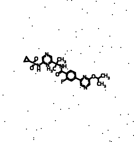 CC(C)Oc1cncc(-c2ccc(C(=O)NC(C)(C)c3cncc(NS(=O)(=O)C4CC4)n3)c(F)c2)n1